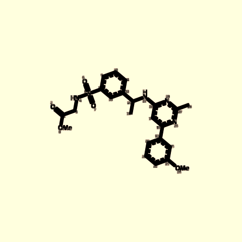 COC(=O)CNS(=O)(=O)c1cccc(C(C)Nc2cc(-c3cccc(OC)c3)nc(C)n2)c1